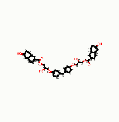 O=C(OCC(O)COc1ccc(Cc2ccc(OCC(O)COC(=O)c3ccc4cc(O)ccc4c3)cc2)cc1)c1ccc2cc(O)ccc2c1